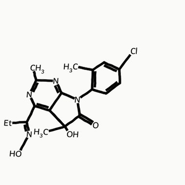 CCC(=NO)c1nc(C)nc2c1C(C)(O)C(=O)N2c1ccc(Cl)cc1C